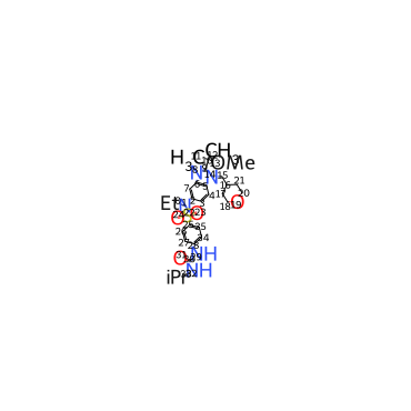 CCN(c1ccc2c(c1)nc(C(C)(C)OC)n2CC1CCOCC1)S(=O)(=O)c1ccc(NC(=O)NC(C)C)cc1